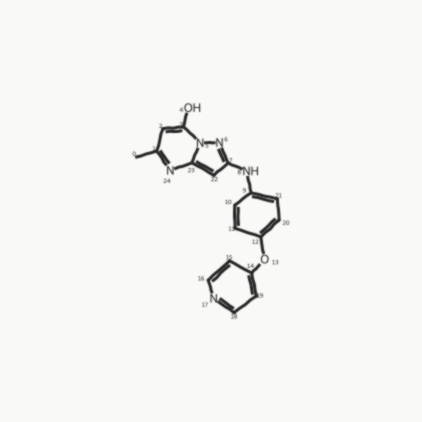 Cc1cc(O)n2nc(Nc3ccc(Oc4ccncc4)cc3)cc2n1